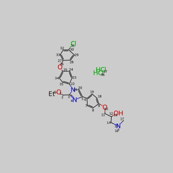 CCOCc1nc(-c2ccc(OCC(O)CN(C)C)cc2)cn1-c1ccc(Oc2ccc(Cl)cc2)cc1.Cl.Cl